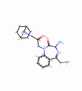 CC(C)CC1=NC(N)C(=O)N(CC(=O)N2CC3CCC(CC3)C2)c2ccccc21